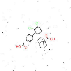 CC(=O)O.Clc1cccc(-c2ccccc2)c1Cl.O=C(O)C12CC3CC(CC(C3)C1)C2